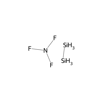 FN(F)F.[SiH3][SiH3]